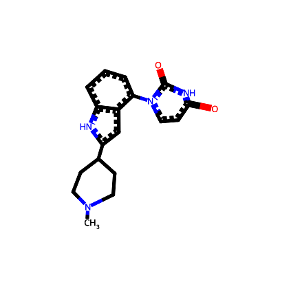 CN1CCC(c2cc3c(-n4ccc(=O)[nH]c4=O)cccc3[nH]2)CC1